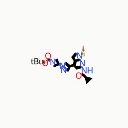 CC(C)(C)OC(=O)N1CC(n2cc(-c3cc(NC(=O)C4CC4)nc4c3ccn4SI)cn2)C1